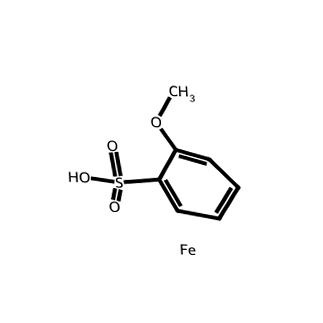 COc1ccccc1S(=O)(=O)O.[Fe]